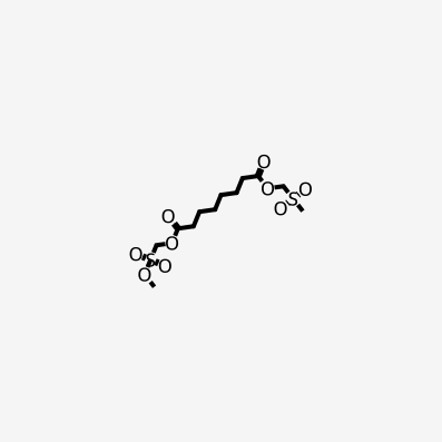 COS(=O)(=O)COC(=O)CCCCCCC(=O)OCS(C)(=O)=O